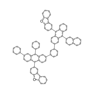 c1ccc(-c2ccc3c(-c4ccc5oc6ccccc6c5c4)c4ccc(-c5cccc(-c6ccc7c(-c8ccc9oc%10ccccc%10c9c8)c8ccccc8c(-c8ccc9ccccc9c8)c7c6)c5)cc4c(-c4ccccc4)c3c2)cc1